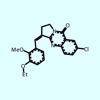 CCOc1cccc(/C=C2/CCn3c2nc2ccc(Cl)cc2c3=O)c1OC